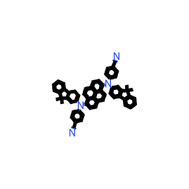 CC1(C)C2=CC(N(c3ccc(C#N)cc3)c3ccc4ccc5c(N(c6ccc(C#N)cc6)c6ccc7c(c6)C(C)(C)c6ccccc6-7)ccc6ccc3c4c65)=CCC2c2ccccc21